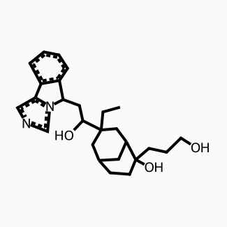 CCC1(C(O)CC2c3ccccc3-c3cncn32)CC2CCC(O)(CCCO)C(C2)C1